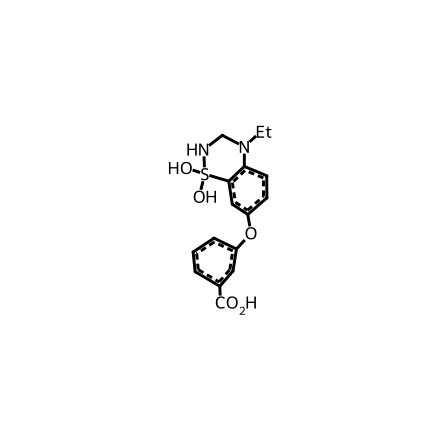 CCN1CNS(O)(O)c2cc(Oc3cccc(C(=O)O)c3)ccc21